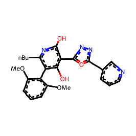 CCCCc1nc(O)c(-c2nnc(-c3cccnc3)o2)c(O)c1-c1c(OC)cccc1OC